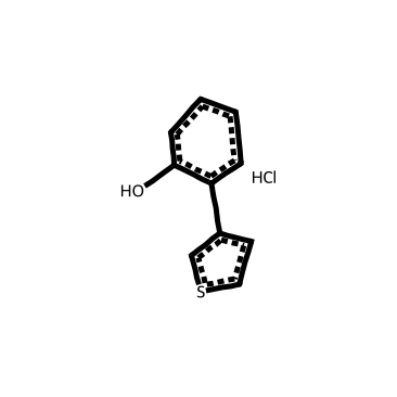 Cl.Oc1ccccc1-c1ccsc1